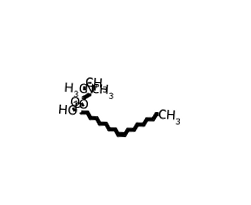 CCCCCCCC/C=C\CCCCCCCCP(=O)(O)OCC[N+](C)(C)C